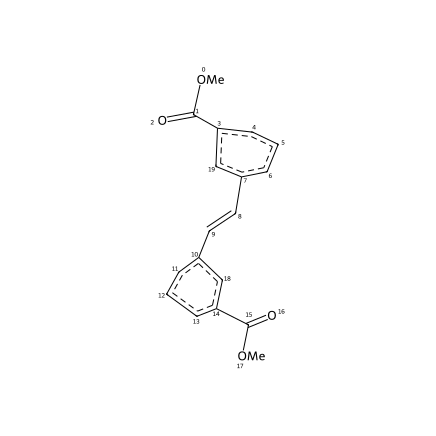 COC(=O)c1cccc(C=Cc2cccc(C(=O)OC)c2)c1